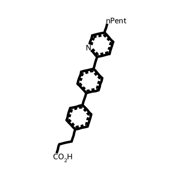 CCCCCc1ccc(-c2ccc(-c3ccc(CCC(=O)O)cc3)cc2)nc1